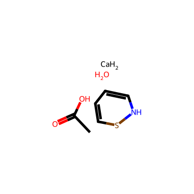 C1=CNSC=C1.CC(=O)O.O.[CaH2]